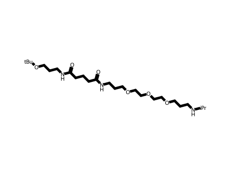 CC(C)NCCCOCCOCCOCCCNC(=O)CCCC(=O)NCCCOC(C)(C)C